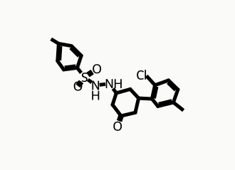 Cc1ccc(S(=O)(=O)NNC2CC(=O)CC(c3cc(C)ccc3Cl)C2)cc1